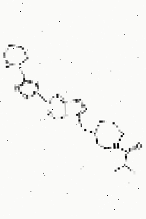 CC(C)C(=O)N1CCCC(Cn2ccc3cc(-c4cnn(C5CCCCO5)c4)ccc32)CC1